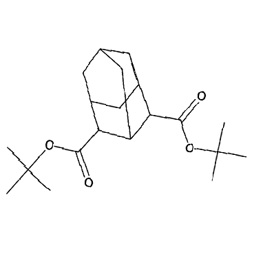 CC(C)(C)OC(=O)C1C2CC3CC(C2)C(C(=O)OC(C)(C)C)C1C3